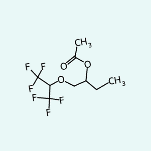 CCC(COC(C(F)(F)F)C(F)(F)F)OC(C)=O